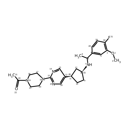 COc1cc(C(C)N[C@H]2CC[C@@H](c3cnc(N4CCN(C(C)=O)CC4)nc3)C2)ccc1F